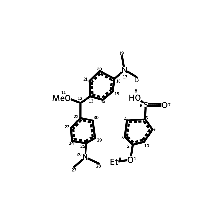 CCOc1ccc(S(=O)O)cc1.COC(c1ccc(N(C)C)cc1)c1ccc(N(C)C)cc1